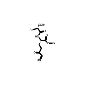 CO[C@@H](C(C)=O)C(=O)N[C@@H](CCC(=O)C=N)C(=O)OC(C)C